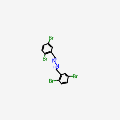 Brc1ccc(Br)c(/C=N/N=C/c2cc(Br)ccc2Br)c1